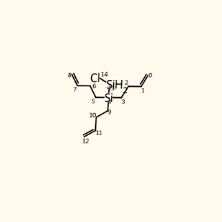 C=CCC[Si](CCC=C)(CCC=C)[SiH2]Cl